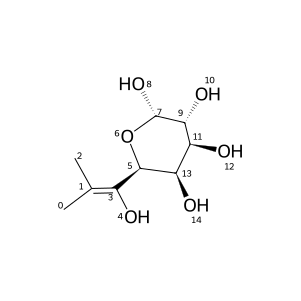 CC(C)=C(O)[C@H]1O[C@H](O)[C@H](O)[C@@H](O)[C@H]1O